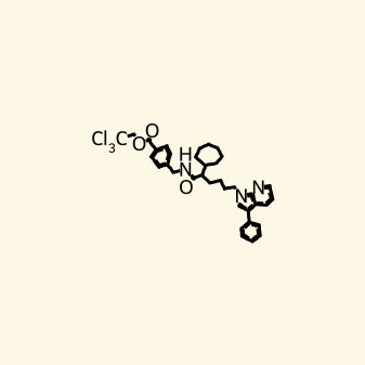 O=C(OCC(Cl)(Cl)Cl)c1ccc(CNC(=O)C(CCCCn2cc(-c3ccccc3)c3cccnc32)C2CCCCCC2)cc1